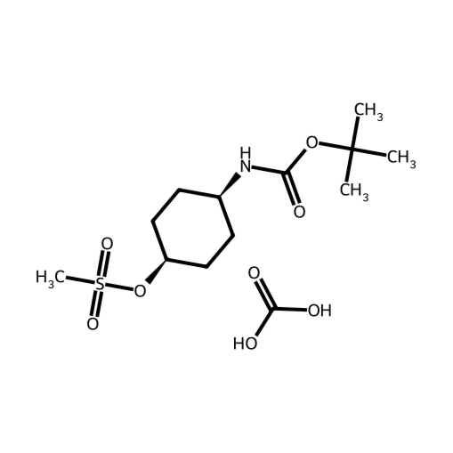 CC(C)(C)OC(=O)N[C@H]1CC[C@@H](OS(C)(=O)=O)CC1.O=C(O)O